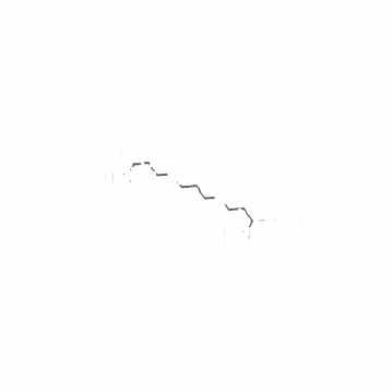 N[C@@H](CCSCCCSCC[C@H](N)C(=O)O)C(=O)O